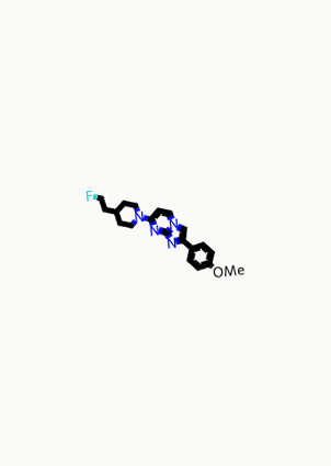 COc1ccc(-c2cn3ccc(N4CCC(CCF)CC4)nc3n2)cc1